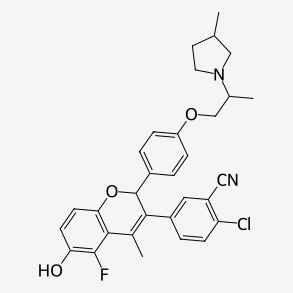 CC1=C(c2ccc(Cl)c(C#N)c2)C(c2ccc(OCC(C)N3CCC(C)C3)cc2)Oc2ccc(O)c(F)c21